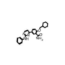 NC(=O)c1cc(-c2ccnc(Nc3ccccc3)n2)ccc1OCC1CCCCC1